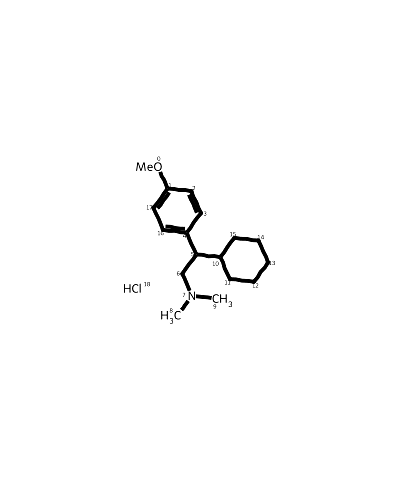 COc1ccc(C(CN(C)C)[C]2CCCCC2)cc1.Cl